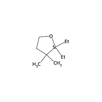 CC[Si]1(CC)OCCC1(C)C